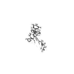 COc1ccc2c(c1)c(CCN1CCCCC1)cn2S(=O)(=O)c1ccccc1